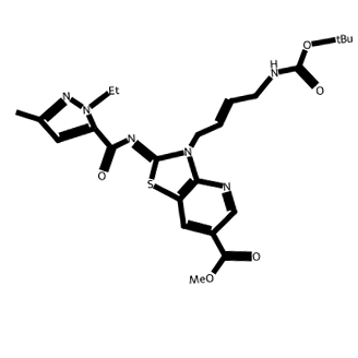 CCn1nc(C)cc1C(=O)/N=c1\sc2cc(C(=O)OC)cnc2n1C/C=C/CNC(=O)OC(C)(C)C